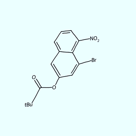 CC(C)(C)C(=O)Oc1cc(Br)c2c([N+](=O)[O-])cccc2c1